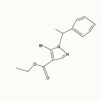 CCOC(=O)c1cnn(C(C)c2ccccc2)c1Br